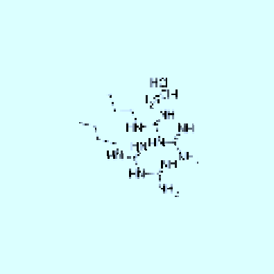 CCCCNC(=N)NC(=N)N.CCCCNC(=N)NC(=N)N.Cl.Cl.S